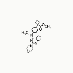 CCN(c1ccc(C2(C(=O)OC)CCC2)cc1)c1nc(N2CCOCC2)nc2c1CCC2